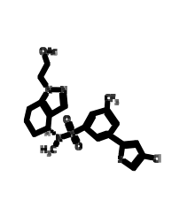 CC(=O)OCCn1ncc2c1CCC[C@H]2N(C)S(=O)(=O)c1cc(-c2cc(Cl)cs2)cc(C(F)(F)F)c1